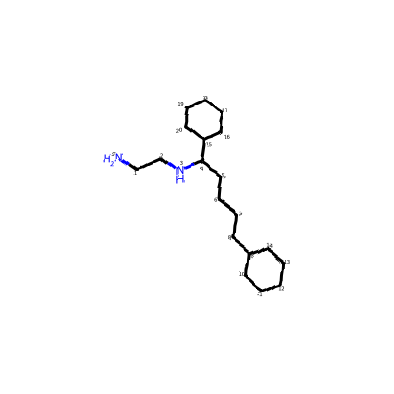 NCCNC(CCCCC1CCCCC1)C1CCCCC1